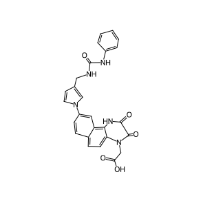 O=C(O)Cn1c(=O)c(=O)[nH]c2c3cc(-n4ccc(CNC(=O)Nc5ccccc5)c4)ccc3ccc21